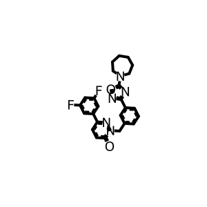 O=c1ccc(-c2cc(F)cc(F)c2)nn1Cc1cccc(-c2noc(N3CCCCCC3)n2)c1